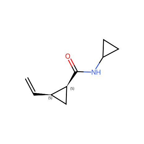 C=C[C@@H]1C[C@@H]1C(=O)NC1CC1